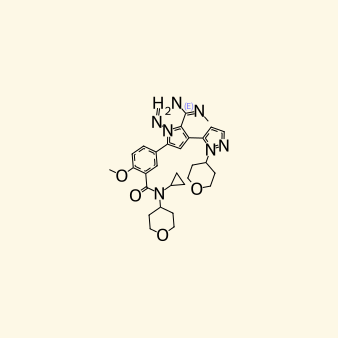 C=Nn1c(-c2ccc(OC)c(C(=O)N(C3CCOCC3)C3CC3)c2)cc(-c2ccnn2C2CCOCC2)c1/C(N)=N\C